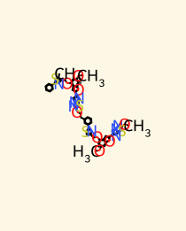 COc1cc(OCc2csc(-c3cccc(CCOc4nn5cc(-c6cc7c(OCc8nc(-c9ccccc9)sc8C)cc(OC)cc7o6)nc5s4)c3)n2)c2cc(-c3cn4nc(OC)sc4n3)oc2c1